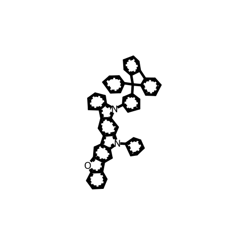 c1ccc(-n2c3cc4c(cc3c3cc5c6ccccc6n(-c6cccc(C7(c8ccccc8)c8ccccc8-c8ccccc87)c6)c5cc32)oc2ccccc24)cc1